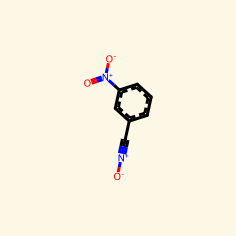 O=[N+]([O-])c1cccc(C#[N+][O-])c1